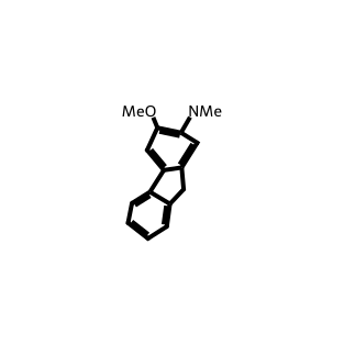 CNc1cc2c(cc1OC)-c1ccccc1C2